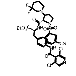 CCOC(=O)[C@H](Cc1ccc(NC(=O)c2c(Cl)cncc2Cl)cc1)NC(=O)[C@@H]1C(N2CCCC(F)(F)C2)CCN1S(=O)(=O)c1cccc(C#N)c1